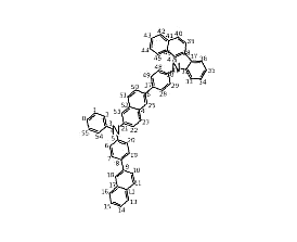 c1ccc(N(c2ccc(-c3ccc4ccccc4c3)cc2)c2ccc3cc(-c4ccc(-n5c6ccccc6c6ccc7ccccc7c65)cc4)ccc3c2)cc1